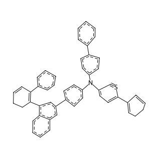 C1#SC(C2=CCCC=C2)=CC=C1N(c1ccc(-c2ccccc2)cc1)c1ccc(-c2cc(C3=C(c4ccccc4)C=CCC3)c3ccccc3c2)cc1